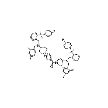 Cc1cnc(CN(Cc2ncccc2C(C)(C)c2ccc(F)cc2)C2CCN(C(=O)n3ccnc3)CC2)c(C)c1.Cc1cnc(CN(Cc2ncccc2C(C)(C)c2ccc(F)cc2)C2CCNCC2)c(C)c1